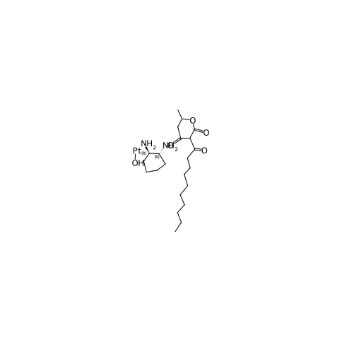 CCCCCCCCCC(=O)C1C(=O)CC(C)OC1=O.N[C@@H]1CCCC[C@H]1N.[OH][Pt]